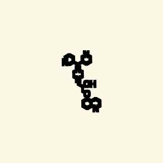 OC(COc1cccc2ncccc12)CN1CCN(C(c2cccnc2)c2cccnc2)CC1